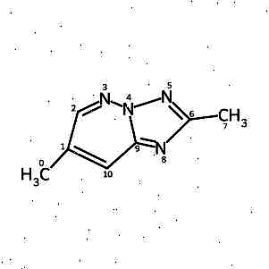 Cc1cnn2nc(C)nc2c1